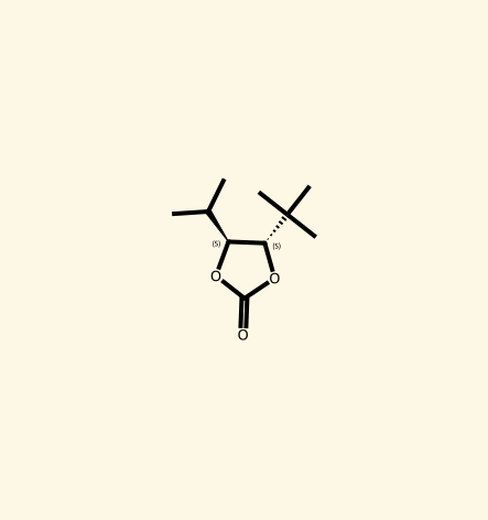 CC(C)[C@@H]1OC(=O)O[C@H]1C(C)(C)C